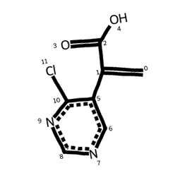 C=C(C(=O)O)c1cncnc1Cl